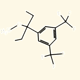 CCC(CC)(O[SiH3])c1cc(C(F)(F)F)cc(C(F)(F)F)c1